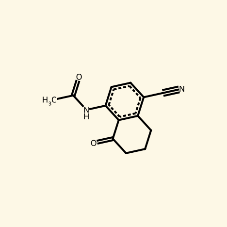 CC(=O)Nc1ccc(C#N)c2c1C(=O)CCC2